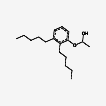 CCCCCc1cccc(OC(C)O)c1CCCCC